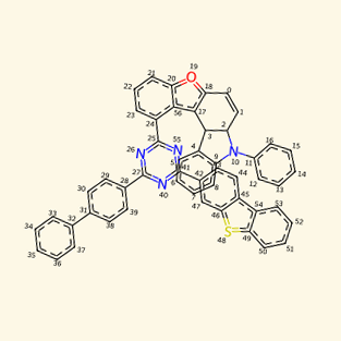 C1=CC2C(c3ccccc3N2c2ccccc2)c2c1oc1cccc(-c3nc(-c4ccc(-c5ccccc5)cc4)nc(-c4ccc5c(c4)sc4ccccc45)n3)c21